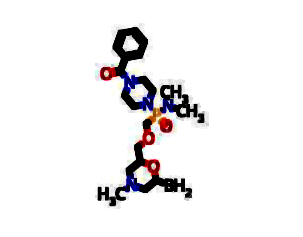 BC1CN(C)CC(COCP(=O)(N(C)C)N2CCN(C(=O)c3ccccc3)CC2)O1